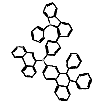 c1ccc(-c2c(-c3ccccc3)c3cc(N(c4ccc(-c5cccc6c7ccccc7n(-c7ccccc7)c56)cc4)c4cc5ccccc5c5ccccc45)ccc3c3ccccc23)cc1